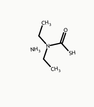 CCN(CC)C(=O)S.N